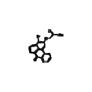 CCCCC(CC)COc1cc2c3c(cccc3c1Br)C(=O)c1ccccc1-2